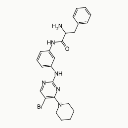 NC(Cc1ccccc1)C(=O)Nc1cccc(Nc2ncc(Br)c(N3CCCCC3)n2)c1